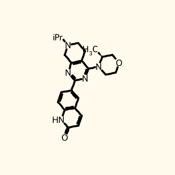 CC(C)N1CCc2c(nc(-c3ccc4[nH]c(=O)ccc4c3)nc2N2CCOC[C@@H]2C)C1